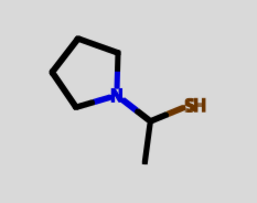 CC(S)N1CCCC1